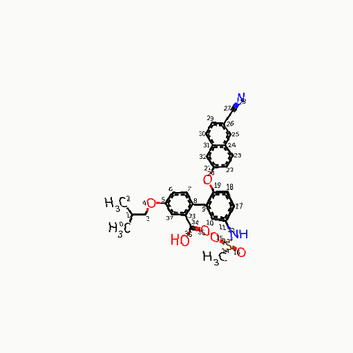 CC(C)COc1ccc(-c2cc(NS(C)(=O)=O)ccc2Oc2ccc3cc(C#N)ccc3c2)c(C(=O)O)c1